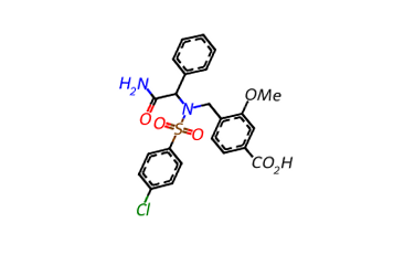 COc1cc(C(=O)O)ccc1CN(C(C(N)=O)c1ccccc1)S(=O)(=O)c1ccc(Cl)cc1